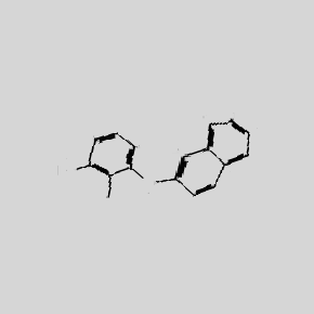 [CH]c1c(O)cccc1Oc1ccc2ccccc2c1